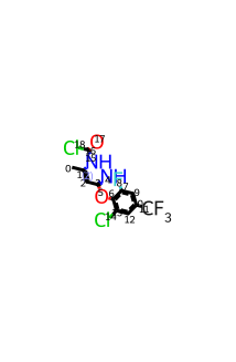 C/C(=C/C(=N)Oc1c(F)cc(C(F)(F)F)cc1Cl)NC(=O)Cl